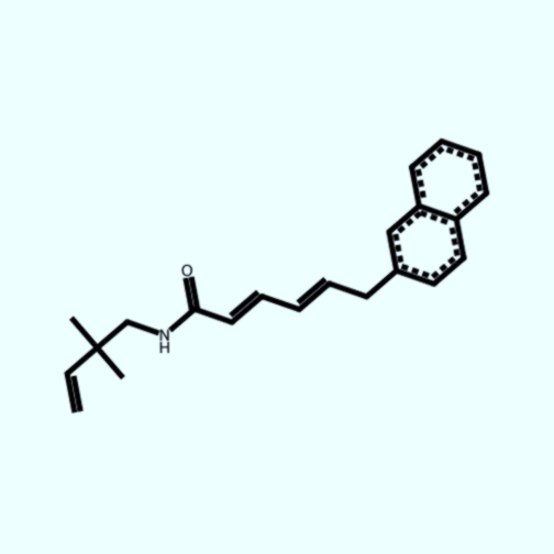 C=CC(C)(C)CNC(=O)/C=C/C=C/Cc1ccc2ccccc2c1